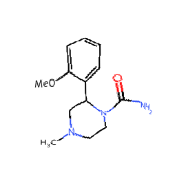 COc1ccccc1C1CN(C)CCN1C(N)=O